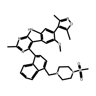 COc1cc2c(cc1-c1c(C)noc1C)[nH]c1nc(C)nc(-c3ccc(CN4CCN(S(C)(=O)=O)CC4)c4ccccc34)c12